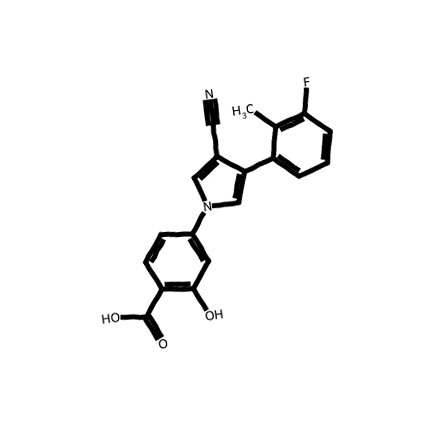 Cc1c(F)cccc1-c1cn(-c2ccc(C(=O)O)c(O)c2)cc1C#N